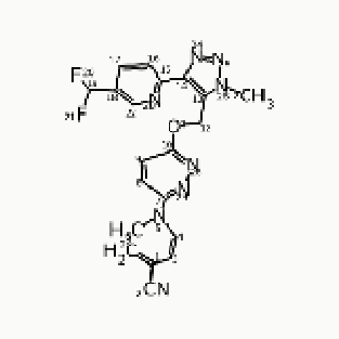 C=C(C#N)/C=C\N(C)c1ccc(OCc2c(-c3ccc(C(F)F)cn3)nnn2C)nn1